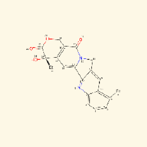 CCc1cccc2nc3c(cc12)Cn1c-3cc2c(c1=O)COC(=O)[C@]2(O)CC